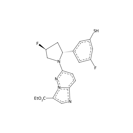 CCOC(=O)c1cnc2ccc(N3C[C@@H](F)C[C@@H]3c3cc(F)cc(S)c3)nn12